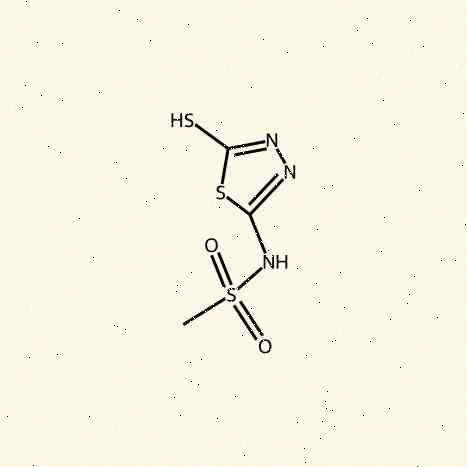 CS(=O)(=O)Nc1nnc(S)s1